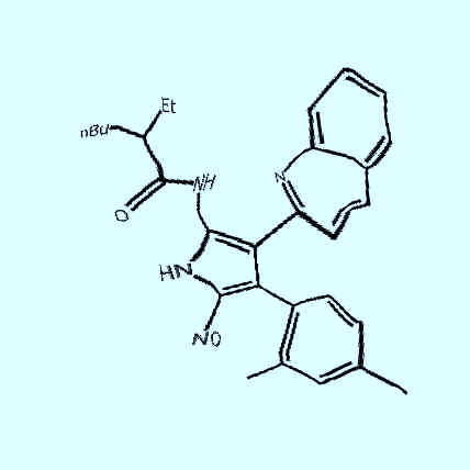 CCCCC(CC)C(=O)Nc1[nH]c(N=O)c(-c2ccc(C)cc2C)c1-c1ccc2ccccc2n1